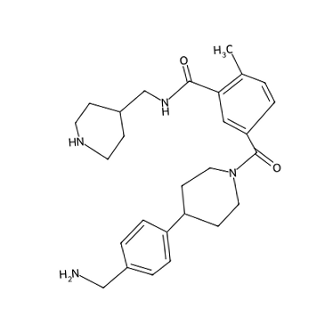 Cc1ccc(C(=O)N2CCC(c3ccc(CN)cc3)CC2)cc1C(=O)NCC1CCNCC1